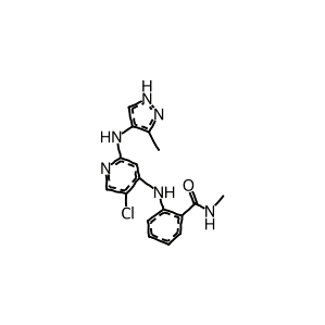 CNC(=O)c1ccccc1Nc1cc(Nc2c[nH]nc2C)ncc1Cl